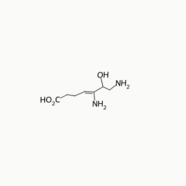 NCC(O)C(N)=CCCC(=O)O